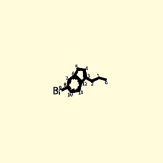 CCCC1=CCc2cc(Br)ccc21